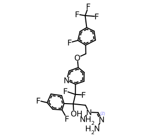 N/N=C\N(N)CC(O)(c1ccc(F)cc1F)C(F)(F)c1ccc(OCc2ccc(C(F)(F)F)cc2F)cn1